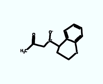 CC(=O)C[S+]([O-])C1CCSc2ccccc21